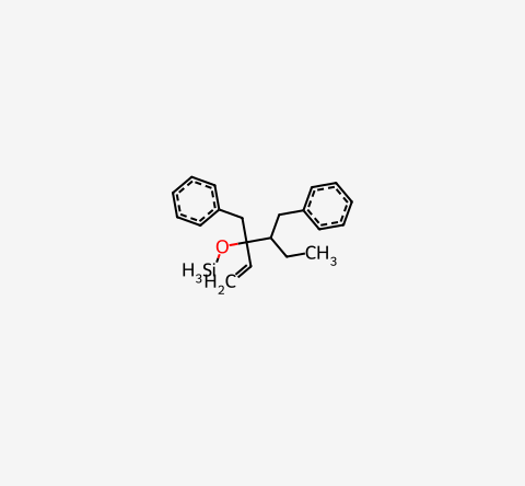 C=CC(Cc1ccccc1)(O[SiH3])C(CC)Cc1ccccc1